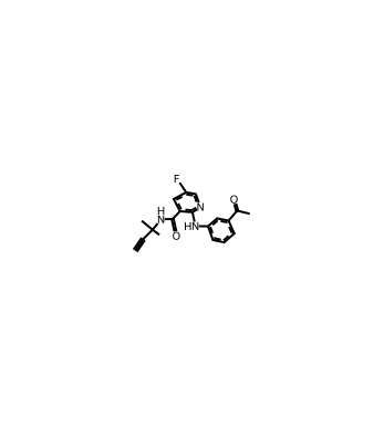 C#CC(C)(C)NC(=O)c1cc(F)cnc1Nc1cccc(C(C)=O)c1